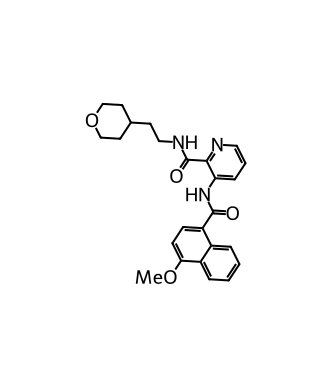 COc1ccc(C(=O)Nc2cccnc2C(=O)NCCC2CCOCC2)c2ccccc12